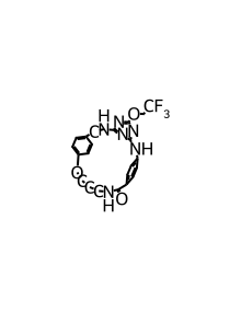 O=C1NCCCOc2ccc(cc2)CNc2nc(nc(OCC(F)(F)F)n2)Nc2ccc1cc2